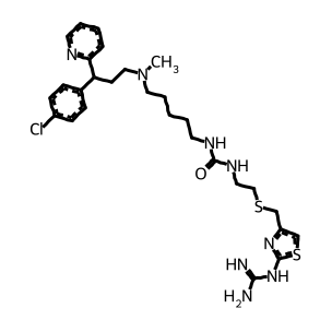 CN(CCCCCNC(=O)NCCSCc1csc(NC(=N)N)n1)CCC(c1ccc(Cl)cc1)c1ccccn1